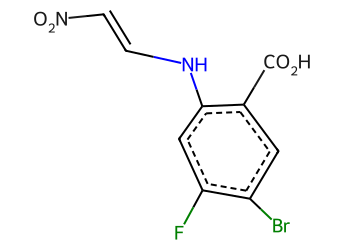 O=C(O)c1cc(Br)c(F)cc1N/C=C/[N+](=O)[O-]